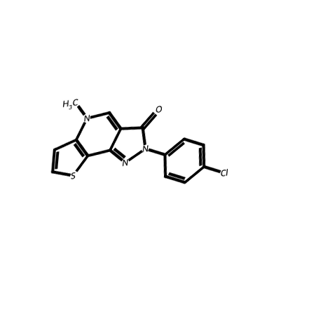 Cn1cc2c(=O)n(-c3ccc(Cl)cc3)nc-2c2sccc21